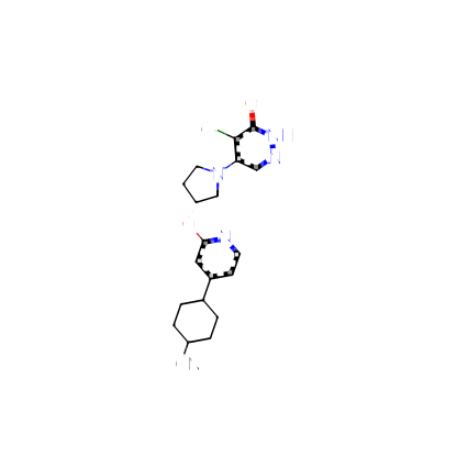 N#CC1CCC(c2ccnc(O[C@@H]3CCN(c4cn[nH]c(=O)c4Cl)C3)c2)CC1